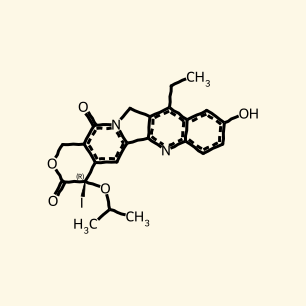 CCc1c2c(nc3ccc(O)cc13)-c1cc3c(c(=O)n1C2)COC(=O)[C@@]3(I)OC(C)C